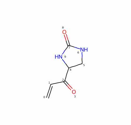 C=CC(=O)C1CNC(=O)N1